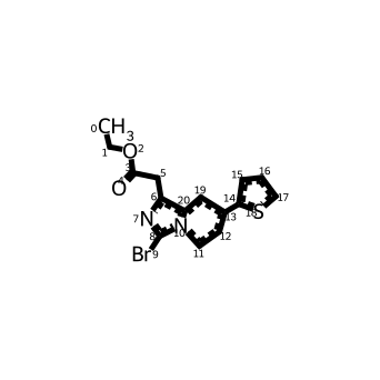 CCOC(=O)Cc1nc(Br)n2ccc(-c3cccs3)cc12